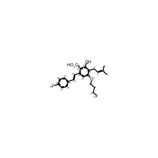 CC(C)=CCc1c(OCCCF)cc(/C=C/c2ccc(F)cc2)c(C(=O)O)c1O